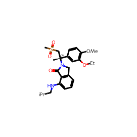 CCOc1cc([C@@](C)(CS(C)(=O)=O)N2Cc3cccc(NCC(C)C)c3C2=O)ccc1OC